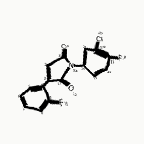 O=C1C=C(c2ccccc2F)C(=O)N1c1ccc(F)c(Cl)c1